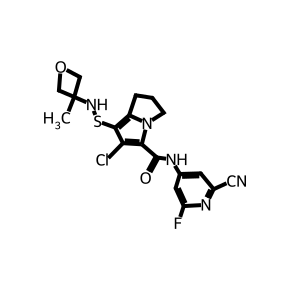 CC1(NSc2c(Cl)c(C(=O)Nc3cc(F)nc(C#N)c3)n3c2CCC3)COC1